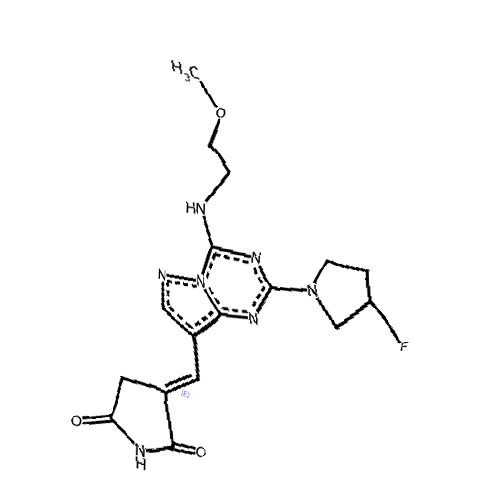 COCCNc1nc(N2CCC(F)C2)nc2c(/C=C3\CC(=O)NC3=O)cnn12